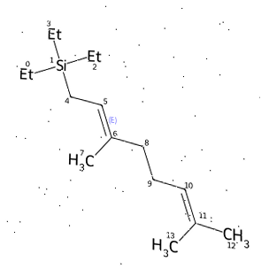 CC[Si](CC)(CC)C/C=C(\C)CCC=C(C)C